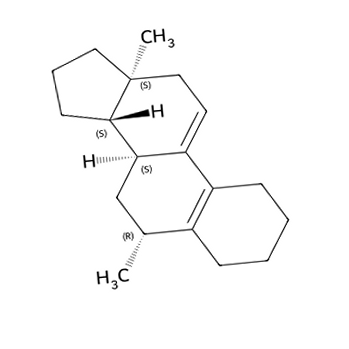 C[C@@H]1C[C@@H]2C(=CC[C@]3(C)CCC[C@@H]23)C2=C1CCCC2